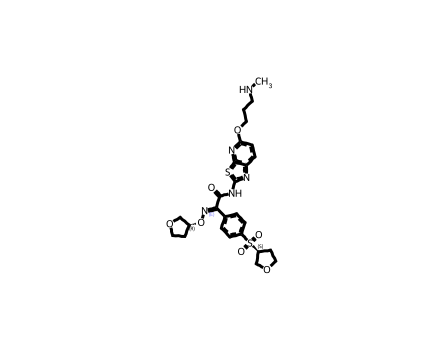 CNCCCOc1ccc2nc(NC(=O)/C(=N/O[C@@H]3CCOC3)c3ccc(S(=O)(=O)[C@H]4CCOC4)cc3)sc2n1